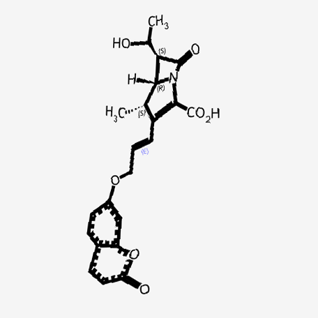 CC(O)[C@H]1C(=O)N2C(C(=O)O)=C(/C=C/COc3ccc4ccc(=O)oc4c3)[C@H](C)[C@H]12